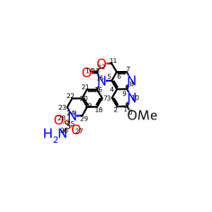 COc1ccc2c3c(cnc2n1)COC(=O)N3c1ccc2c(c1)CCN(S(N)(=O)=O)C2